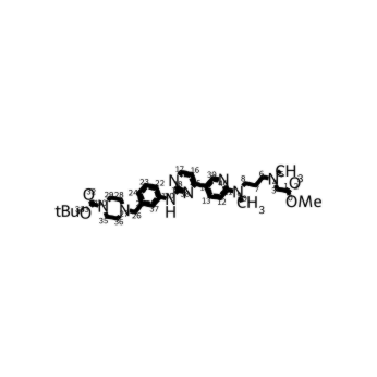 COC(=O)CN(C)CCCN(C)c1ccc(-c2ccnc(Nc3cccc(CN4CCN(C(=O)OC(C)(C)C)CC4)c3)n2)cn1